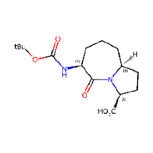 CC(C)(C)OC(=O)N[C@H]1CCC[C@H]2CC[C@@H](C(=O)O)N2C1=O